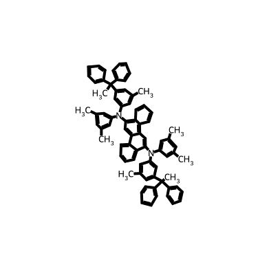 Cc1cc(C)cc(N(c2cc(C)cc(C(C)(c3ccccc3)c3ccccc3)c2)c2cc3c4ccccc4c(N(c4cc(C)cc(C)c4)c4cc(C)cc(C(C)(c5ccccc5)c5ccccc5)c4)cc3c3ccccc23)c1